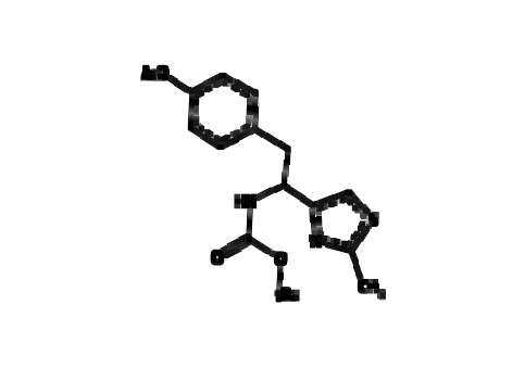 CC(=O)Oc1ccc(CC(NC(=O)OC(C)(C)C)c2csc(C)n2)cc1